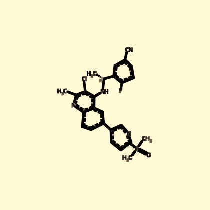 Cc1nc2ccc(-c3ccc(P(C)(C)=O)nc3)cc2c(N[C@H](C)c2cc(C#N)ccc2F)c1Cl